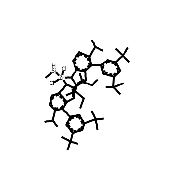 CCC(C)C1=Cc2c(ccc(C(C)C)c2-c2cc(C(C)(C)C)cc(C(C)(C)C)c2)[CH]1[Zr]([Cl])([Cl])([CH]1C(C(C)CC)=Cc2c1ccc(C(C)C)c2-c1cc(C(C)(C)C)cc(C(C)(C)C)c1)[SiH](C)C